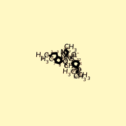 CC/C=C\c1c(C)ccc(OC)c1-n1nc(C)cc1N[S+]([O-])c1ccc(OC(C)(C)C)cc1